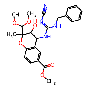 COC(=O)c1ccc2c(c1)C(NC(=NC#N)NCc1ccccc1)C(O)C(C)(C(OC)OC)O2